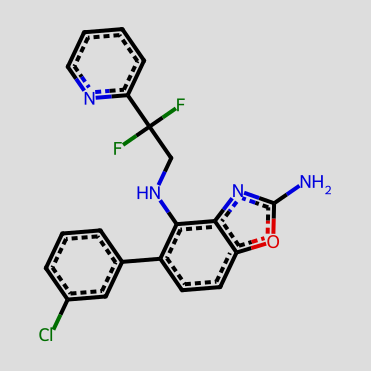 Nc1nc2c(NCC(F)(F)c3ccccn3)c(-c3cccc(Cl)c3)ccc2o1